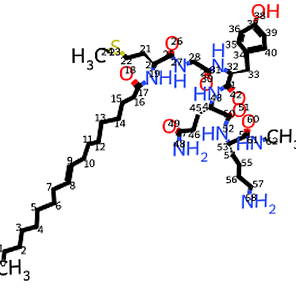 CCCCCCCC/C=C/CCCCCCCC(=O)N[C@@H](CCSC)C(=O)NCC(=O)N[C@@H](Cc1ccc(O)cc1)C(=O)N[C@@H](CCC(N)=O)C(=O)N[C@@H](CCCCN)C(=O)NC